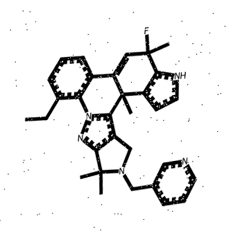 CCc1cccc2c1-n1nc3c(c1C1(C)C2=CC(C)(F)c2[nH]ccc21)CN(Cc1cccnc1)C3(C)C